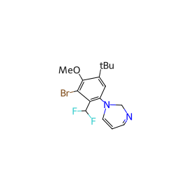 COc1c(C(C)(C)C)cc(N2C=CC=NC2)c(C(F)F)c1Br